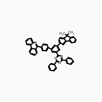 CC1(C)c2ccccc2-c2cc(-c3cc(-c4ccc(-c5nc6ccccc6c6ccccc56)cc4)cc(-c4nc(-c5ccccc5)nc(-c5ccccc5)n4)c3)ccc21